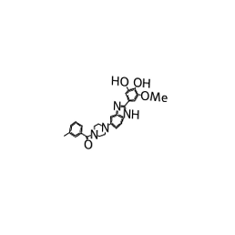 COc1cc(-c2nc3cc(N4CCN(C(=O)c5cccc(C)c5)CC4)ccc3[nH]2)cc(O)c1O